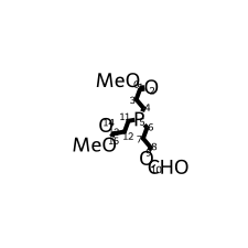 COC(=O)CCP(CCCOC=O)CCC(=O)OC